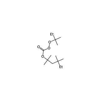 CCC(C)(C)CC(C)(C)OC(=O)OOC(C)(C)CC